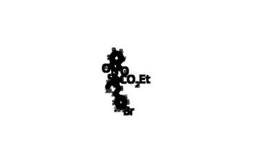 CCOC(=O)c1c(N2C(=O)c3ccccc3C2=O)sc(C)c1CCc1ccc(Br)cc1